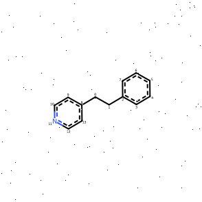 [CH](Cc1ccccc1)c1ccncc1